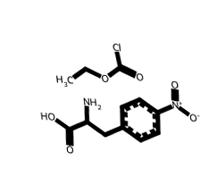 CCOC(=O)Cl.NC(Cc1ccc([N+](=O)[O-])cc1)C(=O)O